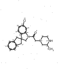 CC1CN(CC(=O)N2CC3(Cc4ccccc4C3)c3ccc(Cl)cc32)CCN1